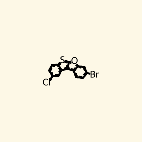 Clc1ccc2sc3oc4cc(Br)ccc4c3c2c1